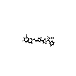 O=C(O)C(c1ccccc1)N1CCC(n2cc(CCc3ccc4c(n3)NCCC4)cn2)C1